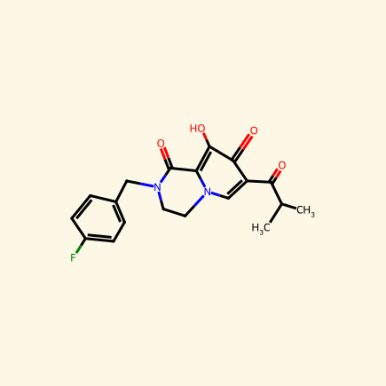 CC(C)C(=O)c1cn2c(c(O)c1=O)C(=O)N(Cc1ccc(F)cc1)CC2